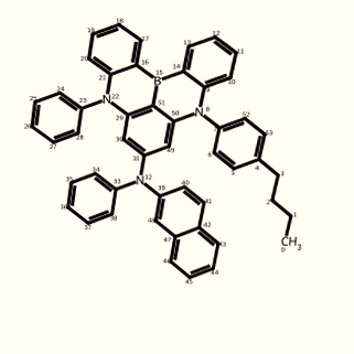 CCCCc1ccc(N2c3ccccc3B3c4ccccc4N(c4ccccc4)c4cc(N(c5ccccc5)c5ccc6ccccc6c5)cc2c43)cc1